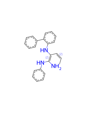 C/C=C\C(Nc1ccccc1-c1ccccc1)=C(/N)Nc1ccccc1